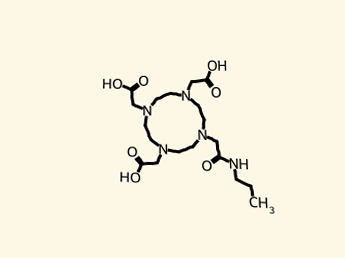 CCCNC(=O)CN1CCN(CC(=O)O)CCN(CC(=O)O)CCN(CC(=O)O)CC1